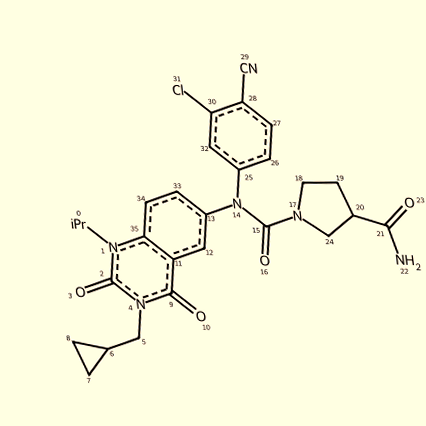 CC(C)n1c(=O)n(CC2CC2)c(=O)c2cc(N(C(=O)N3CCC(C(N)=O)C3)c3ccc(C#N)c(Cl)c3)ccc21